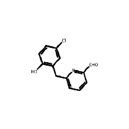 O=Cc1cccc(Cc2cc(Cl)ccc2O)n1